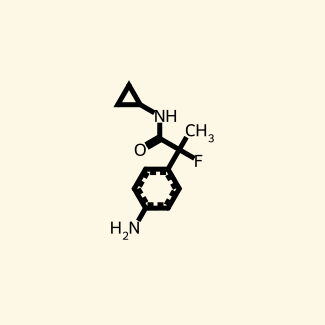 CC(F)(C(=O)NC1CC1)c1ccc(N)cc1